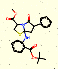 COC(=O)C1CSC2(Nc3ccccc3C(=O)OC(C)(C)C)CC(c3ccccc3)C(=O)N12